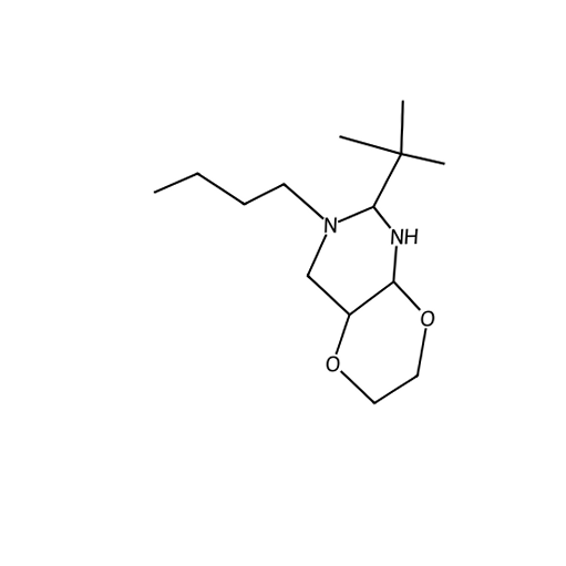 CCCCN1CC2OCCOC2NC1C(C)(C)C